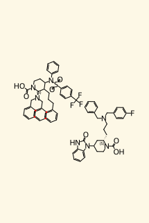 O=C(O)N1CCC(N(c2ccccc2)S(=O)(=O)c2ccc(C(F)(F)F)cc2)C(CCCc2ccccc2)[C@H]1N(Cc1ccccc1)Cc1ccccc1.O=C(O)N1CCC(n2c(=O)[nH]c3ccccc32)C[C@@H]1CCCN(Cc1ccccc1)Cc1ccc(F)cc1